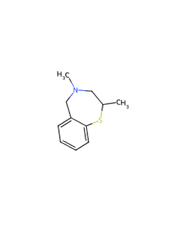 CC1CN(C)Cc2ccccc2S1